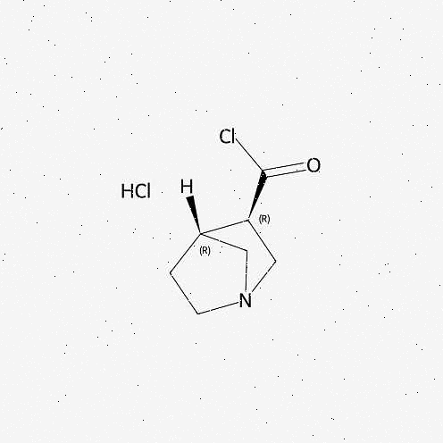 Cl.O=C(Cl)[C@H]1CN2CC[C@H]1C2